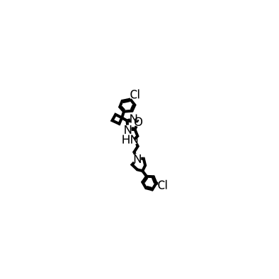 Clc1ccc(C2(c3noc(CNCCN4CCC(c5cccc(Cl)c5)CC4)n3)CCC2)cc1